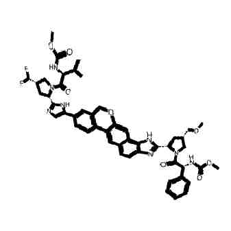 COC[C@H]1C[C@@H](c2nc3ccc4cc5c(cc4c3[nH]2)OCc2cc(-c3cnc([C@@H]4C[C@H](C(F)F)CN4C(=O)[C@@H](NC(=O)OC)C(C)C)[nH]3)ccc2-5)N(C(=O)[C@H](NC(=O)OC)c2ccccc2)C1